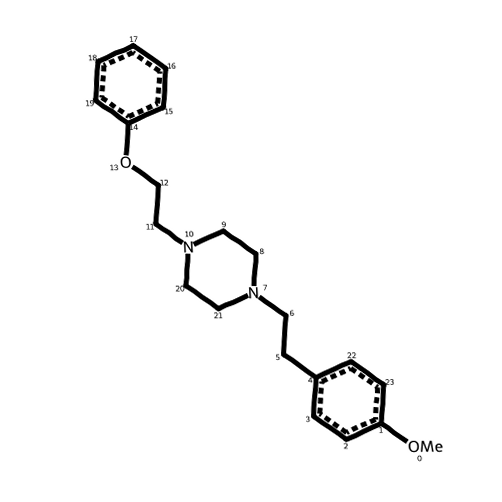 COc1ccc(CCN2CCN(CCOc3ccccc3)CC2)cc1